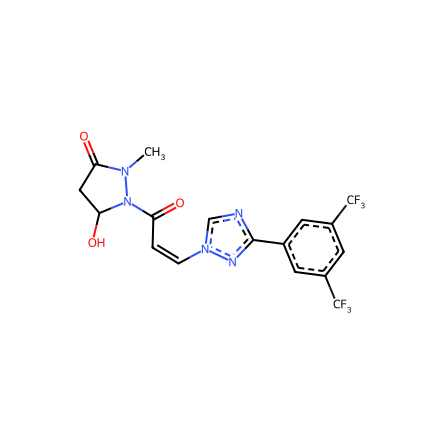 CN1C(=O)CC(O)N1C(=O)/C=C\n1cnc(-c2cc(C(F)(F)F)cc(C(F)(F)F)c2)n1